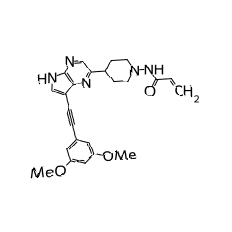 C=CC(=O)NN1CCC(c2cnc3[nH]cc(C#Cc4cc(OC)cc(OC)c4)c3n2)CC1